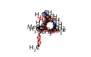 C=CCOCCOCCCO[C@H]1[C@H](C)O[C@@H](O[C@H]2[C@H](C)[C@@H](O[C@@H]3O[C@H](C)C[C@H](N(C)C)[C@H]3O)[C@](C)(O)C[C@@H](C)CN(C)[C@H](C)[C@@H](OC)[C@](C)(O)[C@@H](I)OC(=O)[C@@H]2C)C[C@@]1(C)OC